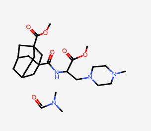 CN(C)C=O.COC(=O)C(CN1CCN(C)CC1)NC(=O)C12CC3CC(C1)CC(C(=O)OC)(C3)C2